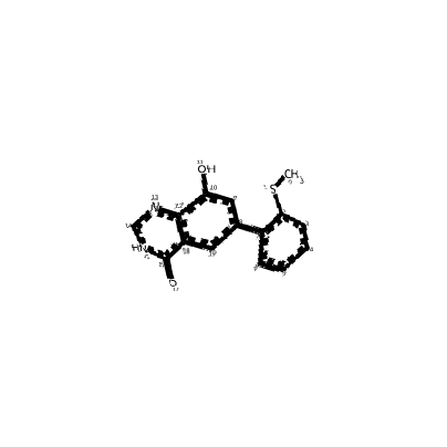 CSc1ccccc1-c1cc(O)c2nc[nH]c(=O)c2c1